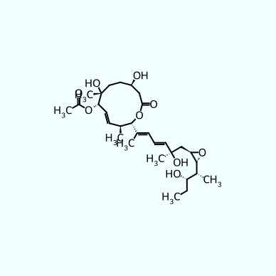 CC[C@H](O)[C@@H](C)[C@H]1O[C@@H]1C[C@@](C)(O)/C=C/C=C(\C)[C@H]1OC(=O)C[C@H](O)CC[C@@](C)(O)[C@@H](OC(C)=O)/C=C/[C@@H]1C